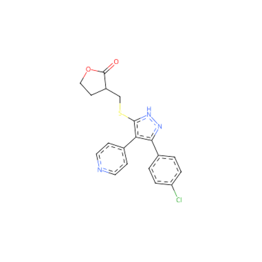 O=C1OCCC1CSc1[nH]nc(-c2ccc(Cl)cc2)c1-c1ccncc1